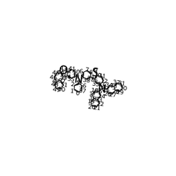 c1ccc(N(c2ccc3sc4ccc(N(c5ccc6ccccc6c5)c5ccc6ccccc6c5)cc4c3c2)c2ccc3oc4ccc5ccccc5c4c3c2)cc1